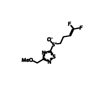 COCc1nsc([S+]([O-])CCC=C(F)F)n1